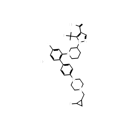 Cl.O=C(O)c1cnn(C2CCCN(c3cc(Cl)ccc3-c3ccc(N4CCN(CC5CC5F)CC4)cc3)C2)c1C(F)(F)F